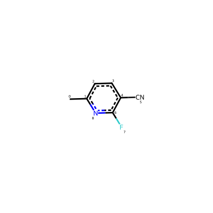 Cc1ccc(C#N)c(F)n1